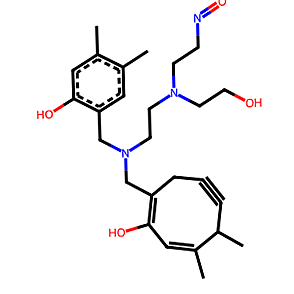 C/C1=C/C(O)=C(/CN(CCN(CCO)CCN=O)Cc2cc(C)c(C)cc2O)CC#CC1C